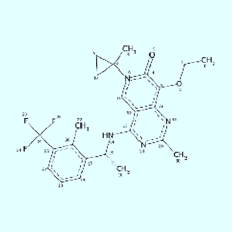 CCOc1c(=O)n(C2(C)CC2)cc2c(N[C@H](C)c3cccc(C(F)(F)F)c3C)nc(C)nc12